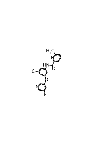 Cc1cccc(C(=O)Nc2cc(Cl)cc(Oc3cncc(F)c3)c2)n1